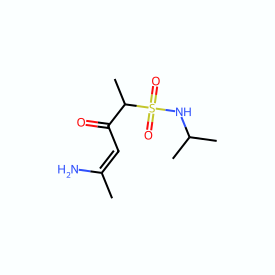 CC(N)=CC(=O)C(C)S(=O)(=O)NC(C)C